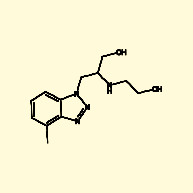 Cc1cccc2c1nnn2CC(CO)NCCO